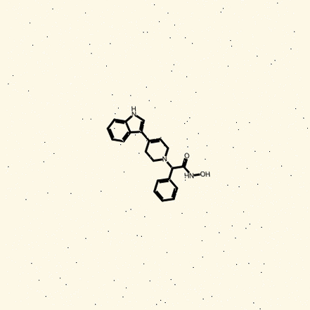 O=C(NO)C(c1ccccc1)N1CC=C(c2c[nH]c3ccccc23)CC1